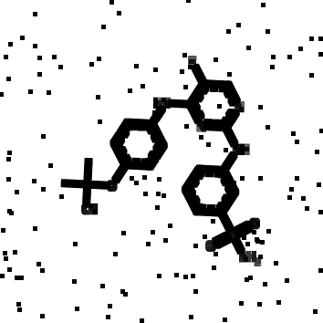 CC(C)(C#N)Oc1ccc(Nc2nc(Nc3cccc(S(N)(=O)=O)c3)ncc2F)cc1